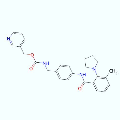 Cc1cccc(C(=O)Nc2ccc(CNC(=O)OCc3cccnc3)cc2)c1N1CCCC1